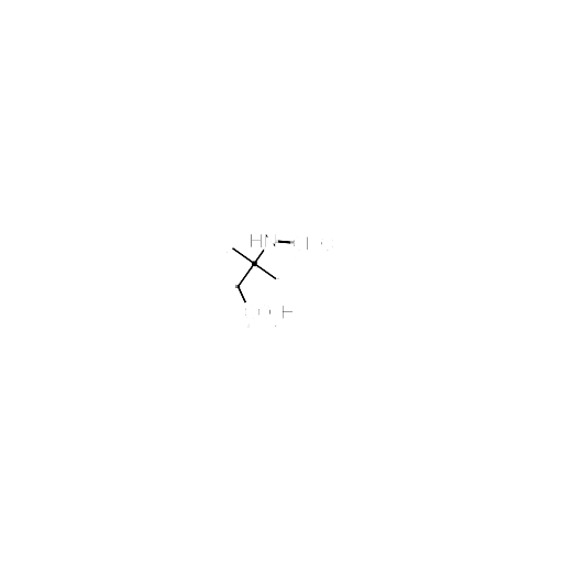 CC(C)(CC(=O)O)N[C]=O